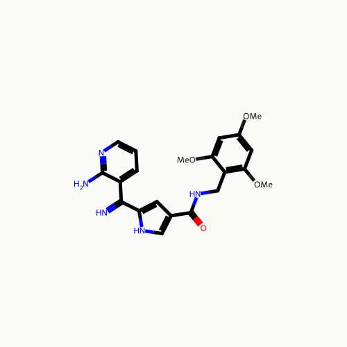 COc1cc(OC)c(CNC(=O)c2c[nH]c(C(=N)c3cccnc3N)c2)c(OC)c1